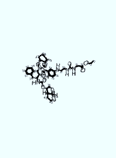 CCOC(=O)CNC(=O)NCCNc1cccc(S(=O)(=O)N(C[C@@H](O)[C@H](Cc2ccccc2)NC(=O)O[C@@H]2CO[C@@H]3OCC[C@@H]32)OC2CCCC2)c1